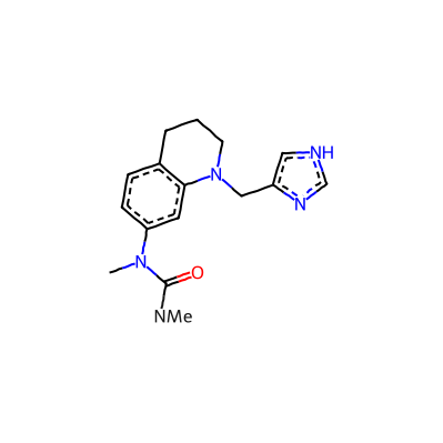 CNC(=O)N(C)c1ccc2c(c1)N(Cc1c[nH]cn1)CCC2